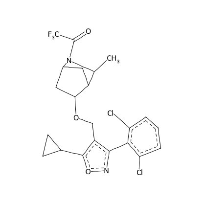 CC1C2CC(CC2OCc2c(-c3c(Cl)cccc3Cl)noc2C2CC2)N1C(=O)C(F)(F)F